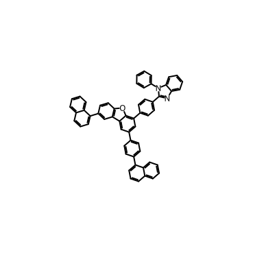 c1ccc(-n2c(-c3ccc(-c4cc(-c5ccc(-c6cccc7ccccc67)cc5)cc5c4oc4ccc(-c6cccc7ccccc67)cc45)cc3)nc3ccccc32)cc1